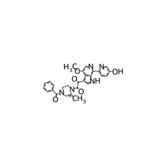 COc1cnc(-c2ccc(O)cn2)c2[nH]cc(C(=O)C(=O)N3CCN(C(=O)c4ccccc4)C[C@H]3C)c12